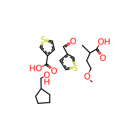 COCCC(C)C(=O)O.O=C(O)c1ccsc1.O=Cc1ccsc1.OCC1CCCC1